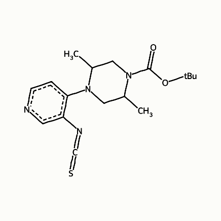 CC1CN(c2ccncc2N=C=S)C(C)CN1C(=O)OC(C)(C)C